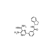 N=C(N)c1nc(-c2cccc(C(=O)N[C@H]3CCc4ccccc43)c2)cnc1N